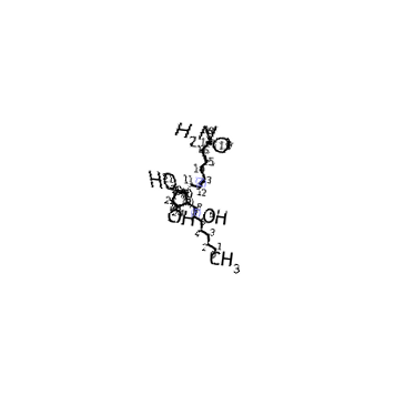 CCCCCC(O)/C=C/[C@@H]1[C@@H](C/C=C\CCCC(N)=O)[C@@H](O)C[C@H]1O